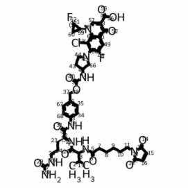 CC(C)C(NC(=O)CCCCCN1C(=O)C=CC1=O)C(=O)N[C@@H](CCCNC(N)=O)C(=O)Nc1ccc(COC(=O)NC2CCN(c3c(F)cc4c(=O)c(C(=O)O)cn([C@H]5C[C@@H]5F)c4c3Cl)C2)cc1